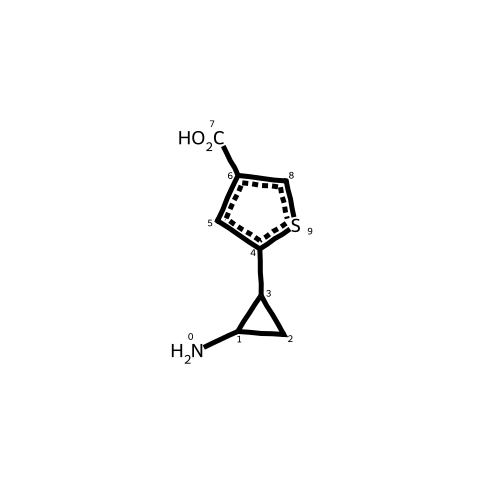 NC1CC1c1cc(C(=O)O)cs1